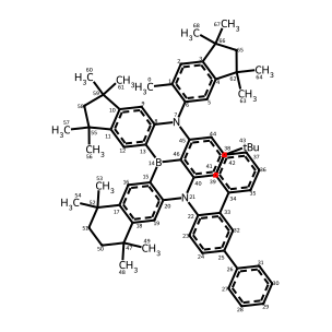 Cc1cc2c(cc1N1c3cc4c(cc3B3c5cc6c(cc5N(c5ccc(-c7ccccc7)cc5-c5ccccc5)c5cc(C(C)(C)C)cc1c53)C(C)(C)CCC6(C)C)C(C)(C)CC4(C)C)C(C)(C)CC2(C)C